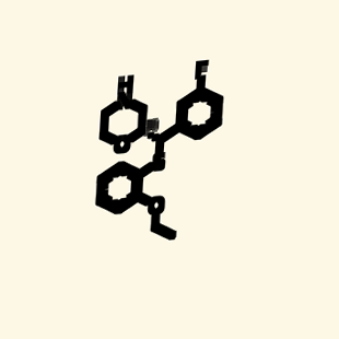 CCOc1ccccc1SC(c1cccc(F)c1)[C@H]1CNCCO1